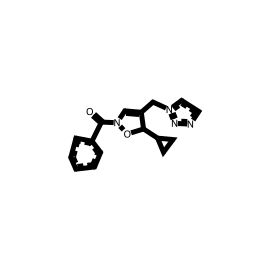 O=C(c1ccccc1)N1C=C(Cn2ccnn2)C(C2CC2)O1